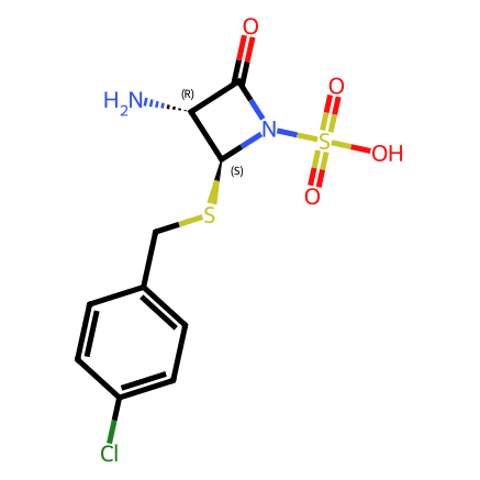 N[C@@H]1C(=O)N(S(=O)(=O)O)[C@H]1SCc1ccc(Cl)cc1